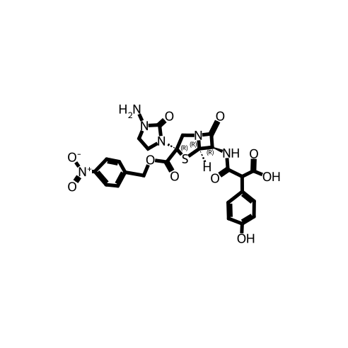 NN1CCN([C@]2(C(=O)OCc3ccc([N+](=O)[O-])cc3)CN3C(=O)[C@@H](NC(=O)C(C(=O)O)c4ccc(O)cc4)[C@H]3S2)C1=O